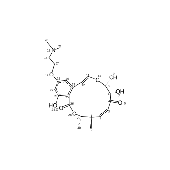 C[C@@H]1/C=C\C(=O)[C@@H](O)[C@@H](O)C/C=C/c2cc(OCCN(C)C)cc(O)c2C(=O)O[C@H]1C